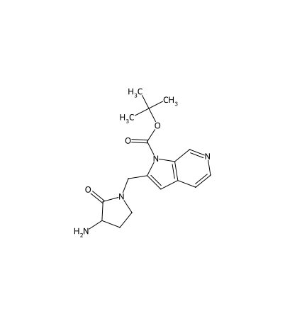 CC(C)(C)OC(=O)n1c(CN2CCC(N)C2=O)cc2ccncc21